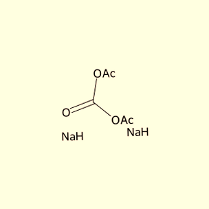 CC(=O)OC(=O)OC(C)=O.[NaH].[NaH]